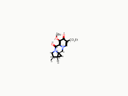 CCCCOc1c2n(cc(C(=O)OCC)c1=O)C[C@@]13C[C@@H]1[C@@H](C)CN3C2=O